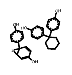 OC1=CC2SC2(c2ccc(O)cc2)C=C1.Oc1ccc(C2(c3ccc(O)cc3)CCCCC2)cc1